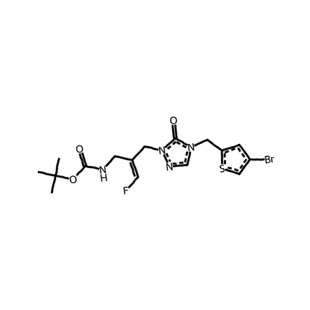 CC(C)(C)OC(=O)NCC(=CF)Cn1ncn(Cc2cc(Br)cs2)c1=O